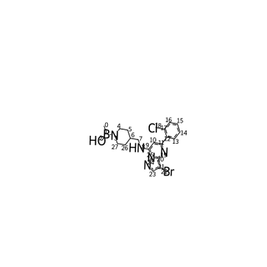 CB(O)N1CCC(CNc2cc(-c3ccccc3Cl)nc3c(Br)cnn23)CC1